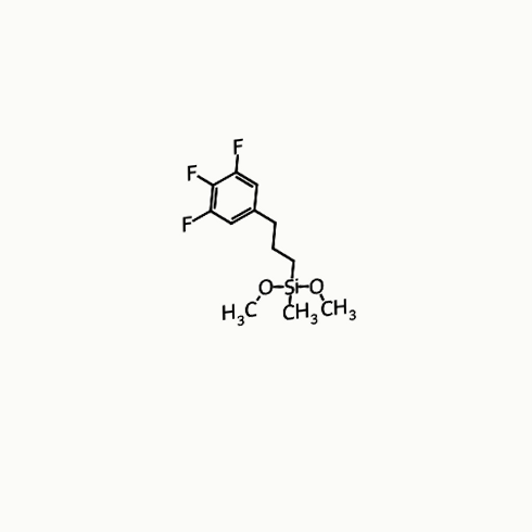 CO[Si](C)(CCCc1cc(F)c(F)c(F)c1)OC